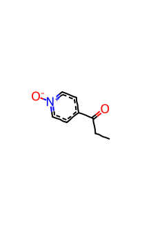 CCC(=O)c1cc[n+]([O-])cc1